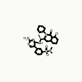 C[C@H](Nc1nc(N)ncc1-c1cccc(S(=O)(=O)N(C)C)c1)c1cc2cccc(Cl)c2c(=O)n1-c1ccccc1